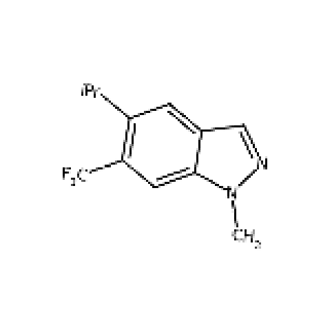 CC(C)c1cc2cnn(C)c2cc1C(F)(F)F